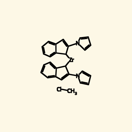 C1=C(n2cccc2)[CH]([Zr][CH]2C(n3cccc3)=Cc3ccccc32)c2ccccc21.CCl